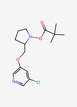 CC(C)(C)C(=O)ON1CCCC1COc1cncc(Cl)c1